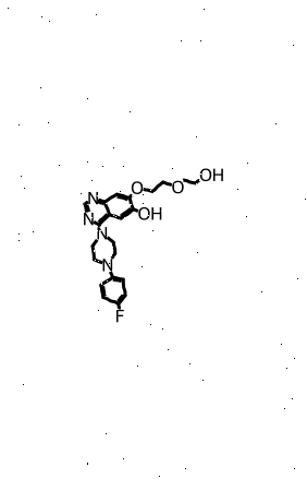 OCCOCCOc1cc2ncnc(N3CCN(c4ccc(F)cc4)CC3)c2cc1O